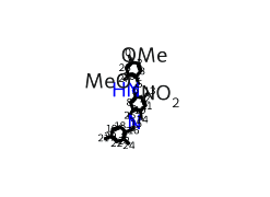 COc1ccc(CNc2cc3c(cc2[N+](=O)[O-])CN(Cc2ccc(C)cc2C)C3)c(OC)c1